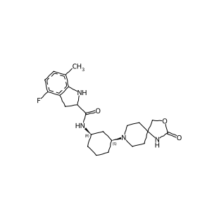 Cc1ccc(F)c2c1NC(C(=O)N[C@@H]1CCC[C@H](N3CCC4(CC3)COC(=O)N4)C1)C2